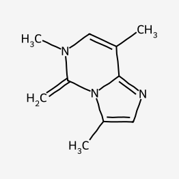 C=C1N(C)C=C(C)c2ncc(C)n21